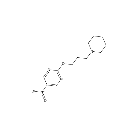 O=[N+]([O-])c1cnc(OCCCN2CCCCC2)nc1